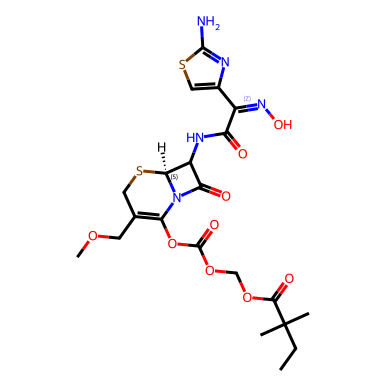 CCC(C)(C)C(=O)OCOC(=O)OC1=C(COC)CS[C@H]2C(NC(=O)/C(=N\O)c3csc(N)n3)C(=O)N12